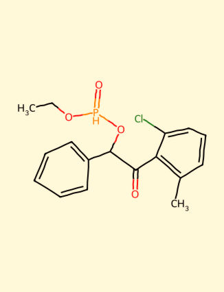 CCO[PH](=O)OC(C(=O)c1c(C)cccc1Cl)c1ccccc1